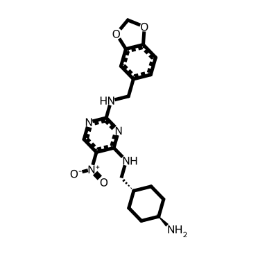 N[C@H]1CC[C@H](CNc2nc(NCc3ccc4c(c3)OCO4)ncc2[N+](=O)[O-])CC1